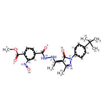 COC(=O)c1ccc(C(=O)NN/C(C)=C2\C(=O)N(c3ccc(C(C)(C)C)cc3)N=C2C)cc1N=O